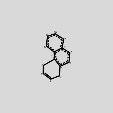 [CH]1C=CCc2c1ccc1ccccc21